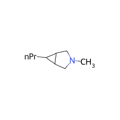 CCCC1C2CN(C)CC12